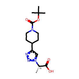 C[C@@H](C(=O)O)n1cc(C2CCN(C(=O)OC(C)(C)C)CC2)nn1